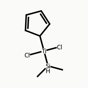 C[SiH](C)[Ti]([Cl])([Cl])[CH]1C=CC=C1